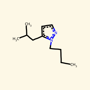 CCCCn1n[c]cc1CC(C)C